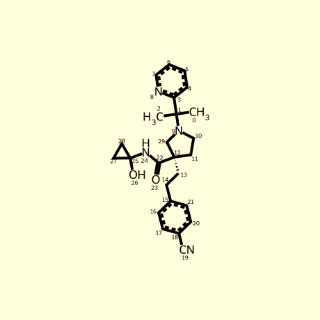 CC(C)(c1ccccn1)N1CC[C@@](CCc2ccc(C#N)cc2)(C(=O)NC2(O)CC2)C1